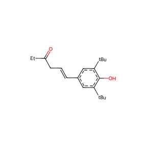 CCC(=O)CC=Cc1cc(C(C)(C)C)c(O)c(C(C)(C)C)c1